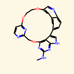 CNc1nc2c3c(c[nH]c3n1)-c1ccc3ncc(cc3c1)OCCOc1ccnc(n1)CO2